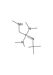 CNCP(=NC(C)(C)C)(N(C)C)N(C)C